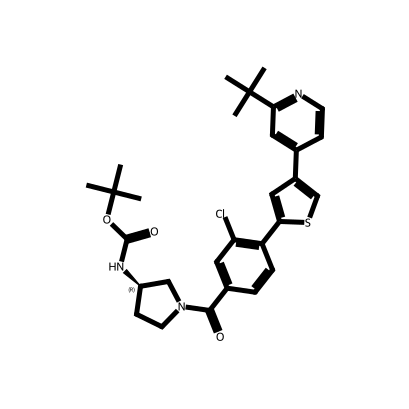 CC(C)(C)OC(=O)N[C@@H]1CCN(C(=O)c2ccc(-c3cc(-c4ccnc(C(C)(C)C)c4)cs3)c(Cl)c2)C1